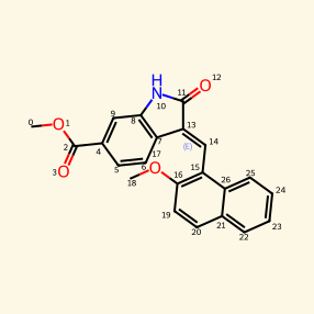 COC(=O)c1ccc2c(c1)NC(=O)/C2=C/c1c(OC)ccc2ccccc12